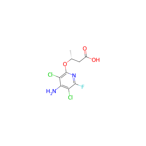 C[C@H](CC(=O)O)Oc1nc(F)c(Cl)c(N)c1Cl